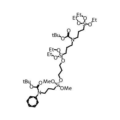 CCO[Si](CCCN(CCC[Si](OCC)(OCC)OCCCO[Si](CCCN(C(=O)OC(C)(C)C)c1ccccc1)(OC)OC)C(=O)OC(C)(C)C)(OCC)OCC